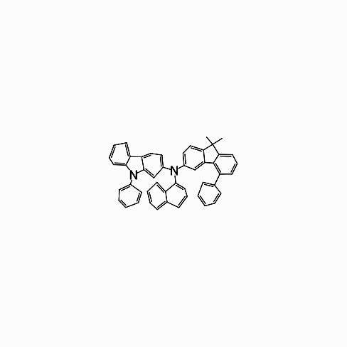 CC1(C)c2ccc(N(c3ccc4c5ccccc5n(-c5ccccc5)c4c3)c3cccc4ccccc34)cc2-c2c(-c3ccccc3)cccc21